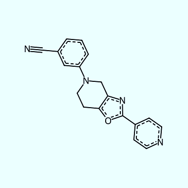 N#Cc1cccc(N2CCc3oc(-c4ccncc4)nc3C2)c1